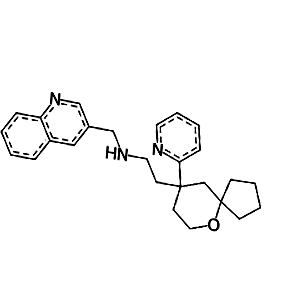 c1ccc(C2(CCNCc3cnc4ccccc4c3)CCOC3(CCCC3)C2)nc1